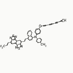 C#CC#CC#CC#COc1ccc(N(c2ccc(C)cc2)c2ccc(C=Cc3cc4c(cc(C=CC)c5nsnc54)c4nsnc34)c3ccccc23)cc1